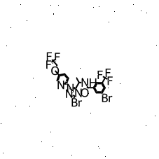 CC(NC(=O)c1cc(Br)cc(C(F)(F)F)c1)c1nc(Br)nn1-c1ccc(OCC(F)(F)F)cn1